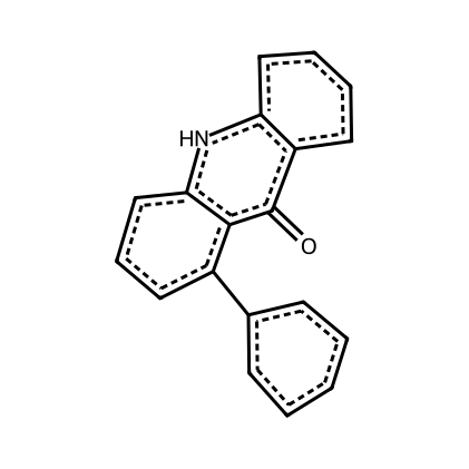 O=c1c2ccccc2[nH]c2cccc(-c3ccccc3)c12